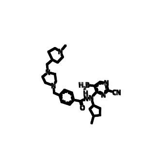 Bc1cnc(C#N)nc1N(NC(=O)c1ccc(CN2CCN(CC3CCN(C)CC3)CC2)cc1)C1CCC(C)C1